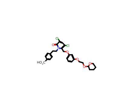 O=C(O)c1ccc(CCn2c(COc3cccc(OCCOC4CCCCO4)c3)c(Cl)cc(Cl)c2=O)cc1